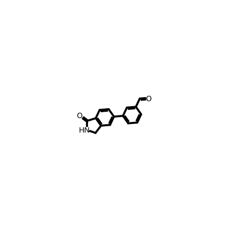 O=Cc1cccc(-c2ccc3c(c2)CNC3=O)c1